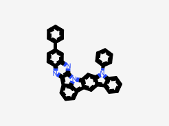 c1ccc(-c2ccc3nc4c5cccc6c7cc8c9ccccc9n(-c9ccccc9)c8cc7n(c4nc3c2)c65)cc1